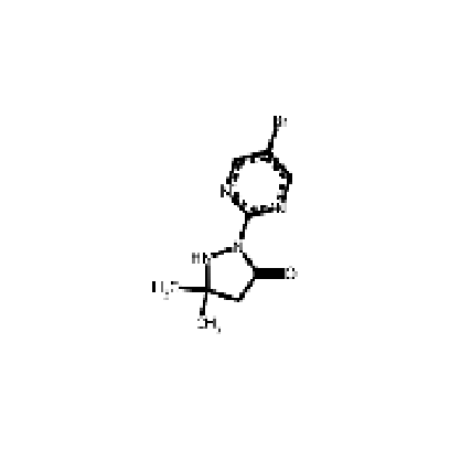 CC1(C)CC(=O)N(c2ncc(Br)cn2)N1